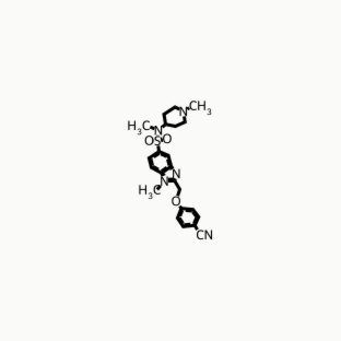 CN1CCC(N(C)S(=O)(=O)c2ccc3c(c2)nc(COc2ccc(C#N)cc2)n3C)CC1